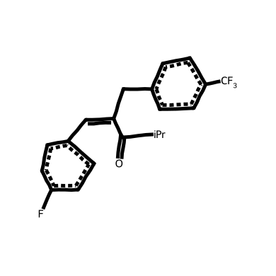 CC(C)C(=O)C(=Cc1ccc(F)cc1)Cc1ccc(C(F)(F)F)cc1